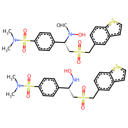 CN(C)S(=O)(=O)c1ccc([C@@H](CS(=O)(=O)Cc2ccc3sccc3c2)N(O)C=O)cc1.CN(C)S(=O)(=O)c1ccc([C@@H](CS(=O)(=O)Cc2ccc3sccc3c2)NO)cc1